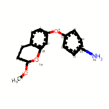 COC1CCc2ccc(Oc3ccc(N)cc3)cc2O1